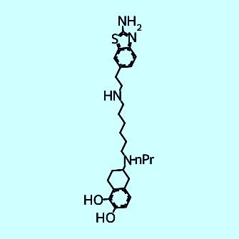 CCCN(CCCCCCNCCc1ccc2nc(N)sc2c1)C1CCc2c(ccc(O)c2O)C1